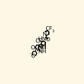 C[C@@H]1C[C@H](N2C(=N)N[C@](C)(c3cccc(NC(=O)c4ccc(C(F)(F)F)cn4)c3Cl)CC2=O)CCO1.Cl